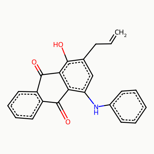 C=CCc1cc(Nc2ccccc2)c2c(c1O)C(=O)c1ccccc1C2=O